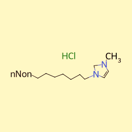 CCCCCCCCCCCCCCCCN1C=CN(C)C1.Cl